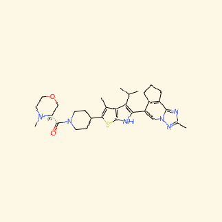 Cc1nc2c3c(c(-c4[nH]c5sc(C6CCN(C(=O)[C@H]7COCCN7C)CC6)c(C)c5c4C(C)C)cn2n1)CCC3